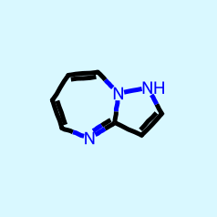 C1=CN=C2C=CNN2C=C1